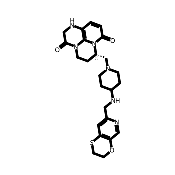 O=C1CNc2ccc(=O)n3c2N1CC[C@H]3CN1CCC(NCc2cc3c(cn2)OCCS3)CC1